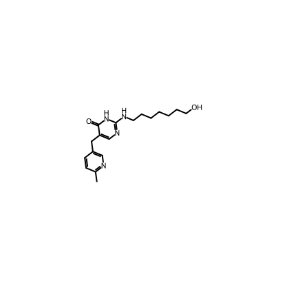 Cc1ccc(Cc2cnc(NCCCCCCCO)[nH]c2=O)cn1